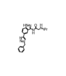 CC(C)NCC(=O)Nc1n[nH]c2ccc(-c3cn(Cc4ccccc4)nn3)cc12